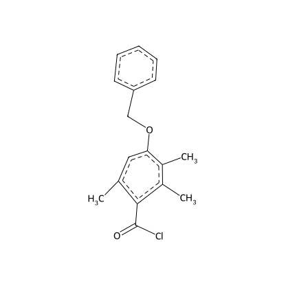 Cc1cc(OCc2ccccc2)c(C)c(C)c1C(=O)Cl